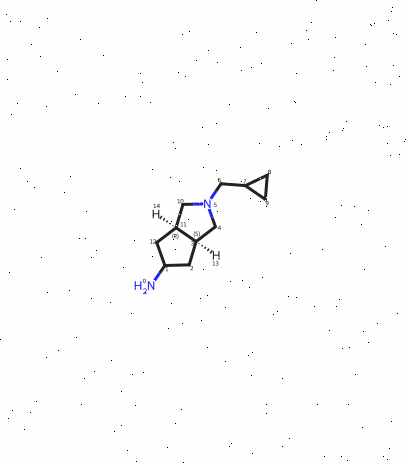 NC1C[C@@H]2CN(CC3CC3)C[C@@H]2C1